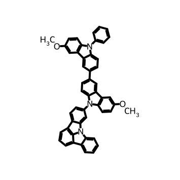 COc1ccc2c(c1)c1cc(-c3ccc4c(c3)c3cc(OC)ccc3n4-c3ccc4c5cccc6c7ccccc7n(c4c3)c65)ccc1n2-c1ccccc1